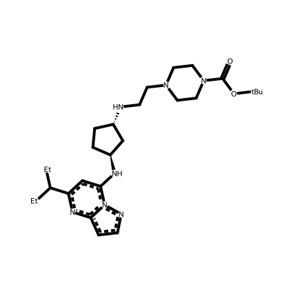 CCC(CC)c1cc(N[C@H]2CC[C@H](NCCN3CCN(C(=O)OC(C)(C)C)CC3)C2)n2nccc2n1